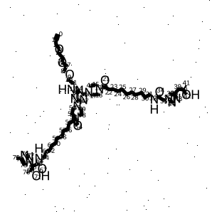 C#CCOCCOCCOCCNc1nc(N2CCN(C(=O)CCCCCCCCCCNC(=O)Cn3cc(C[C@@H](C)O)nn3)CC2)nc(N2CCN(C(=O)CCCCCCCCCCNC(=O)[C@@H]([C@H](C)O)n3cc(C)nn3)CC2)n1